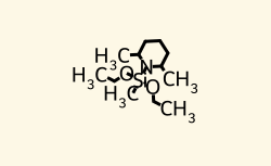 CCO[Si](C)(OCC)N1C(C)CCCC1C